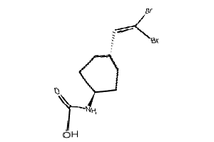 O=C(O)N[C@H]1CC[C@H](C=C(Br)Br)CC1